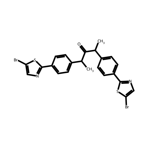 CC(C(=O)C(C)c1ccc(-c2ncc(Br)s2)cc1)c1ccc(-c2ncc(Br)s2)cc1